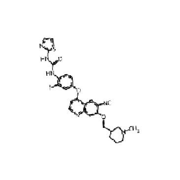 [C-]#[N+]c1cc2c(Oc3ccc(NC(=O)Nc4nccs4)c(F)c3)ccnc2cc1OCC1CCCN(C)C1